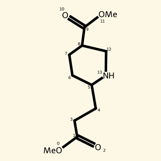 COC(=O)CCC1CCC(C(=O)OC)CN1